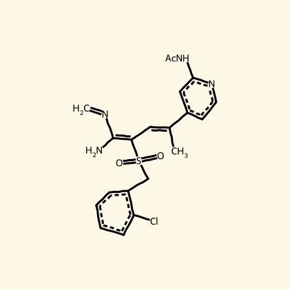 C=N/C(N)=C(\C=C(/C)c1ccnc(NC(C)=O)c1)S(=O)(=O)Cc1ccccc1Cl